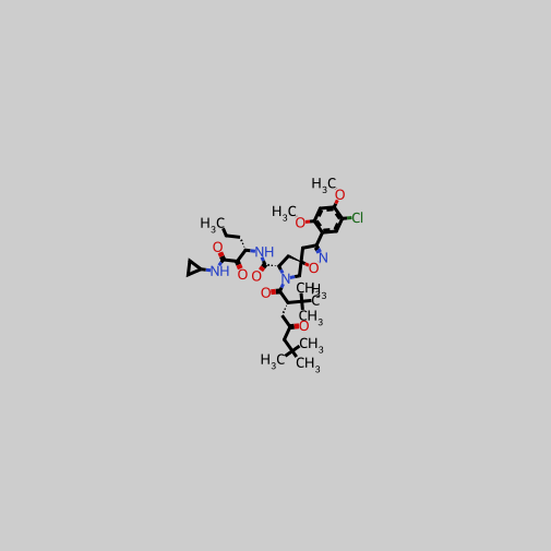 CCC[C@H](NC(=O)[C@@H]1C[C@]2(CC(c3cc(Cl)c(OC)cc3OC)=NO2)CN1C(=O)[C@@H](CC(=O)CC(C)(C)C)C(C)(C)C)C(=O)C(=O)NC1CC1